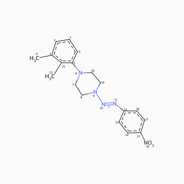 Cc1cccc(N2CCN(/N=N/c3ccc([N+](=O)[O-])cc3)CC2)c1C